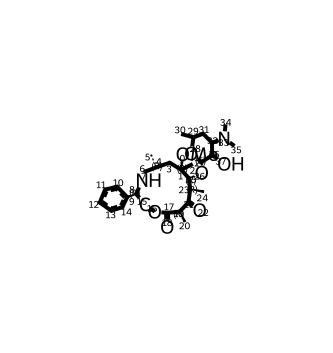 CO[C@]1(C)C[C@@H](C)CN[C@H](c2ccccc2)COC(=O)[C@H](C)C(=O)[C@H](C)[C@H]1O[C@@H]1OC(C)CC(N(C)C)C1O